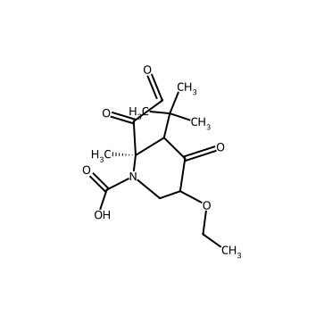 CCOC1CN(C(=O)O)[C@@](C)(C(=O)C=O)C(C(C)(C)C)C1=O